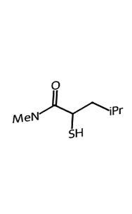 CNC(=O)C(S)CC(C)C